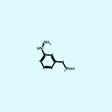 CCCC(C)Cc1cccc(NN)c1